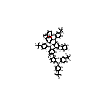 CC(C)(C)c1ccc(N2B3c4cc5occc5cc4N(c4ccc(C(C)(C)C)cc4-c4ccccc4)c4cc5c(oc6ccccc65)c(c43)-c3cc4c(cc32)oc2ccc(N(c3ccc(C(C)(C)C)cc3)c3ccc(C(C)(C)C)cc3)cc24)cc1